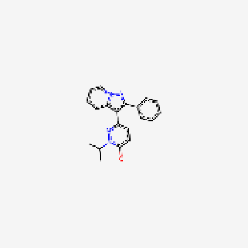 CC(C)n1nc(-c2c(-c3ccccc3)nn3ccccc23)ccc1=O